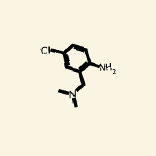 CN(C)Cc1cc(Cl)ccc1N